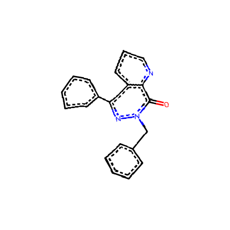 O=c1c2ncccc2c(-c2ccccc2)nn1Cc1ccccc1